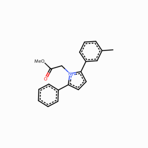 COC(=O)Cn1c(-c2ccccc2)ccc1-c1cccc(C)c1